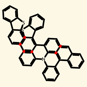 c1cc(-c2ccc3c(c2)sc2ccccc23)cc(N(c2ccccc2-c2cccc3ccccc23)c2ccccc2-c2cccc3sc4ccccc4c23)c1